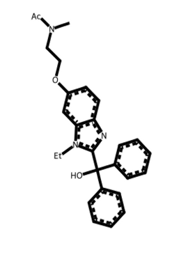 CCn1c(C(O)(c2ccccc2)c2ccccc2)nc2ccc(OCCN(C)C(C)=O)cc21